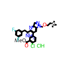 COC(=O)c1cc(-c2cc3c(cnn3COCC[Si](C)(C)C)nc2[C@@H](N)Cc2cc(F)cc(F)c2)ccc1Cl.Cl